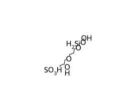 O=S(=O)(O)CC(O)COCCCO[SiH2]OO